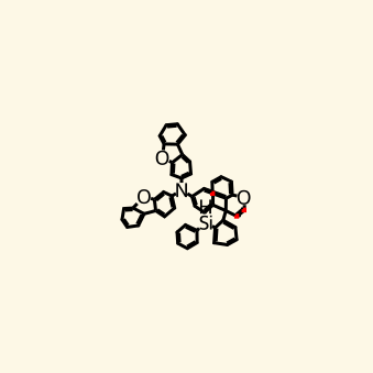 c1ccc([SiH]2c3ccccc3C3(c4ccccc4Oc4ccccc43)c3ccc(N(c4ccc5c(c4)oc4ccccc45)c4ccc5c(c4)oc4ccccc45)cc32)cc1